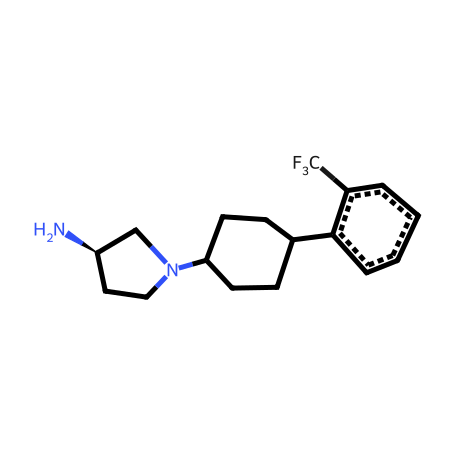 N[C@@H]1CCN(C2CCC(c3ccccc3C(F)(F)F)CC2)C1